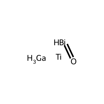 [GaH3].[O]=[BiH].[Ti]